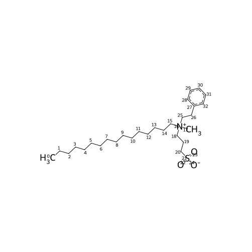 CCCCCCCCCCCCCCCC[N+](C)(CCCS(=O)(=O)[O-])CCc1ccccc1